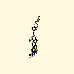 CCCCC1CCc2cc(C#Cc3cc(F)c(-c4ccc(-c5ccc(N=C=S)c(F)c5)c(F)c4)c(F)c3)ccc2C1